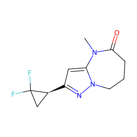 CN1C(=O)CCCn2nc([C@H]3CC3(F)F)cc21